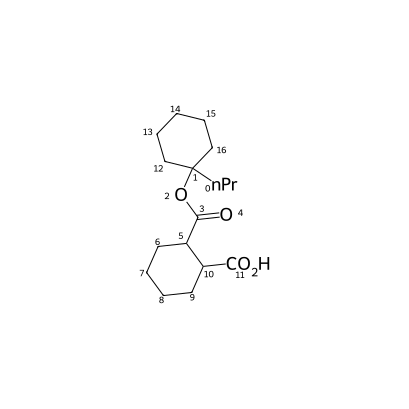 CCCC1(OC(=O)C2CCCCC2C(=O)O)CCCCC1